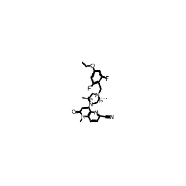 CCOc1cc(F)c(CN2C[C@H](C)N(c3cc(=O)n(C)c4ccc(C#N)nc34)C[C@H]2C)c(F)c1